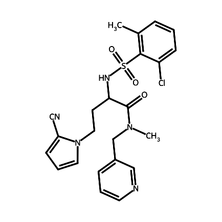 Cc1cccc(Cl)c1S(=O)(=O)NC(CCn1cccc1C#N)C(=O)N(C)Cc1cccnc1